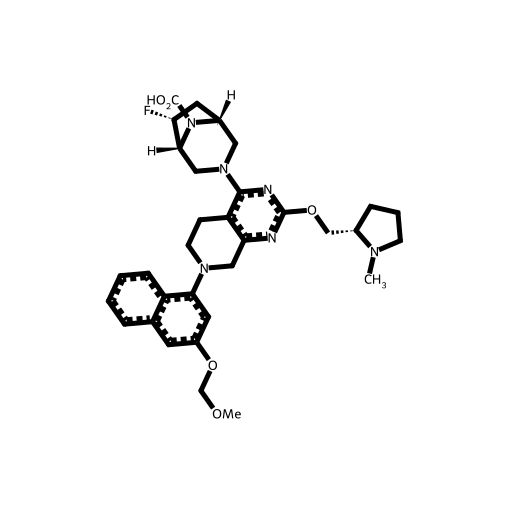 COCOc1cc(N2CCc3c(nc(OC[C@@H]4CCCN4C)nc3N3C[C@H]4C[C@@H](F)[C@@H](C3)N4C(=O)O)C2)c2ccccc2c1